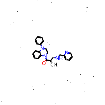 CC(CNCc1ccccn1)C(=O)N1CCN(c2ccccc2)c2ccccc21